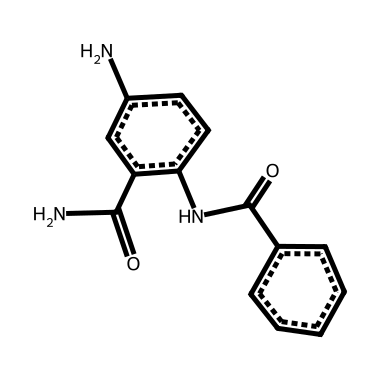 NC(=O)c1cc(N)ccc1NC(=O)c1ccccc1